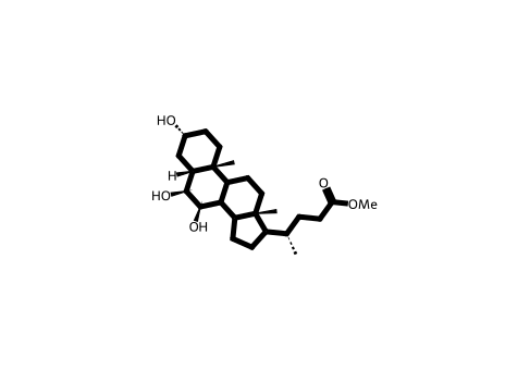 COC(=O)CC[C@H](C)C1CCC2C3C(CC[C@@]21C)[C@@]1(C)CC[C@@H](O)C[C@H]1[C@H](O)[C@@H]3O